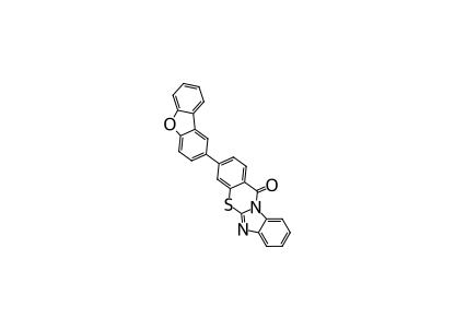 O=c1c2ccc(-c3ccc4oc5ccccc5c4c3)cc2sc2nc3ccccc3n12